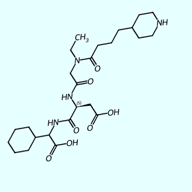 CCN(CC(=O)N[C@@H](CC(=O)O)C(=O)NC(C(=O)O)C1CCCCC1)C(=O)CCCC1CCNCC1